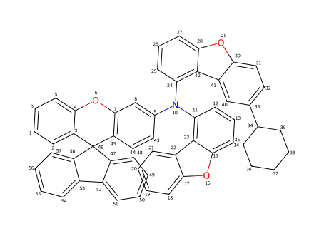 c1ccc2c(c1)Oc1cc(N(c3cccc4oc5ccccc5c34)c3cccc4oc5ccc(C6CCCCC6)cc5c34)ccc1C21c2ccccc2-c2ccccc21